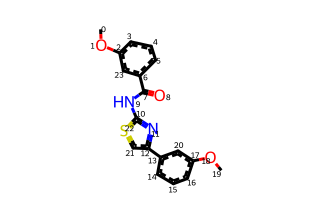 COc1cccc(C(=O)Nc2nc(-c3cccc(OC)c3)cs2)c1